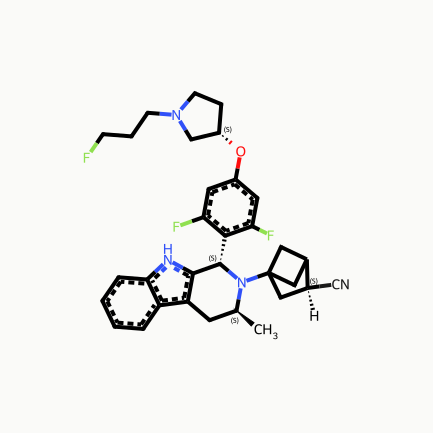 C[C@H]1Cc2c([nH]c3ccccc23)[C@H](c2c(F)cc(O[C@H]3CCN(CCCF)C3)cc2F)N1C12CC(C1)[C@@H](C#N)C2